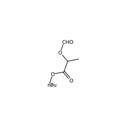 CCCCOC(=O)C(C)O[C]=O